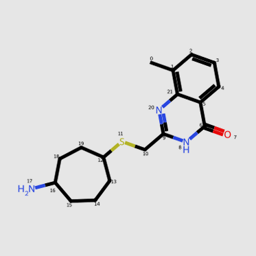 Cc1cccc2c(=O)[nH]c(CSC3CCCC(N)CC3)nc12